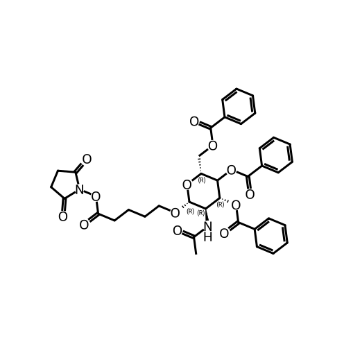 CC(=O)N[C@H]1[C@H](OCCCCC(=O)ON2C(=O)CCC2=O)O[C@H](COC(=O)c2ccccc2)C(OC(=O)c2ccccc2)[C@@H]1OC(=O)c1ccccc1